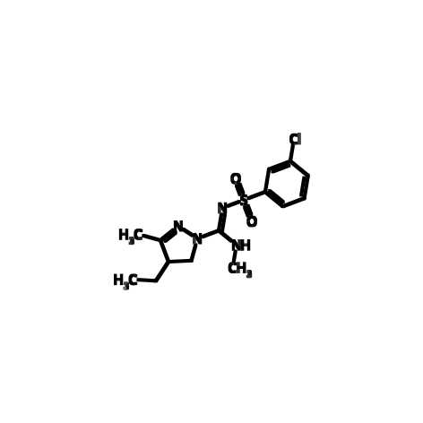 CCC1CN(/C(=N/S(=O)(=O)c2cccc(Cl)c2)NC)N=C1C